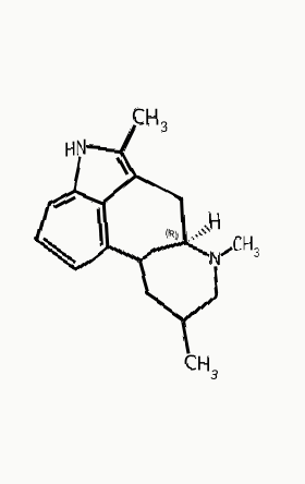 Cc1[nH]c2cccc3c2c1C[C@@H]1C3CC(C)CN1C